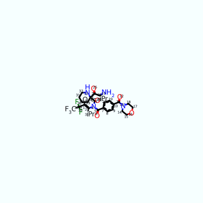 CC(=O)O/C(=C(/C(C)C)N(C(=O)c1ccc(C(=O)N2CCOCC2)cc1)C(=O)C1(C(=O)[C@@H](N)C(C)C)CCCCN1)C(F)(F)C(F)(F)F